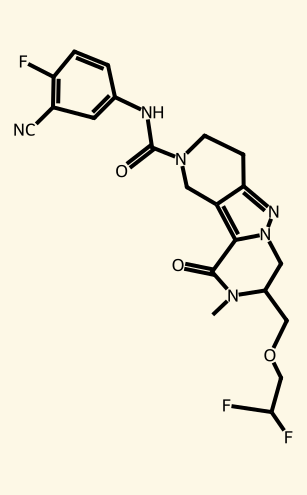 CN1C(=O)c2c3c(nn2CC1COCC(F)F)CCN(C(=O)Nc1ccc(F)c(C#N)c1)C3